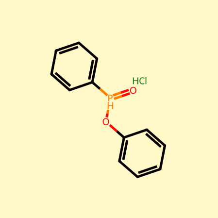 Cl.O=[PH](Oc1ccccc1)c1ccccc1